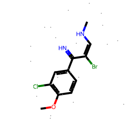 CN/C=C(/Br)C(=N)c1ccc(OC)c(Cl)c1